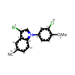 COc1ccc(-n2cc(Br)c3cc(C#N)ccc32)cc1Cl